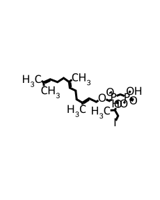 CC(C)=CCCC(C)=CCCC(C)=CCOCP(=O)(CP(=O)(O)O)OC(C)CI